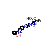 CC(C)C(C(=O)O)c1cc(N2CC3(CN(c4ccc5cc(-c6ccccc6O)nnc5c4)C3)C2)n(C)n1